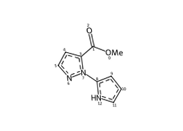 COC(=O)c1ccnn1-c1ccc[nH]1